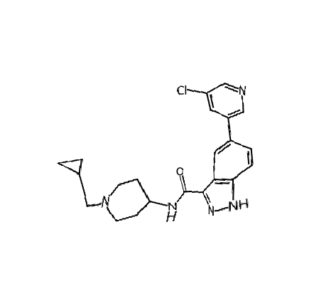 O=C(NC1CCN(CC2CC2)CC1)c1n[nH]c2ccc(-c3cncc(Cl)c3)cc12